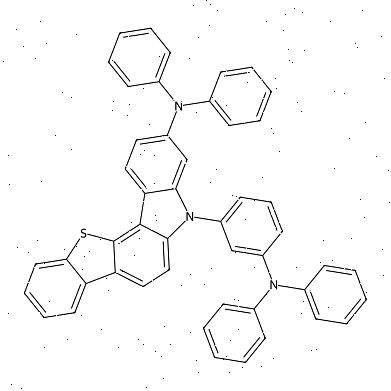 c1ccc(N(c2ccccc2)c2cccc(-n3c4cc(N(c5ccccc5)c5ccccc5)ccc4c4c5sc6ccccc6c5ccc43)c2)cc1